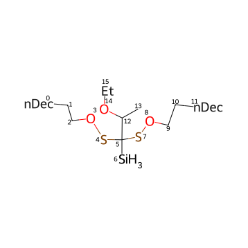 CCCCCCCCCCCCOSC([SiH3])(SOCCCCCCCCCCCC)C(C)OCC